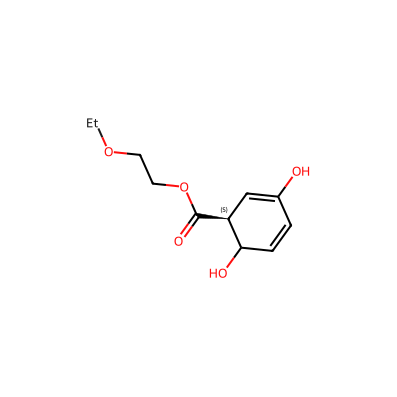 CCOCCOC(=O)[C@H]1C=C(O)C=CC1O